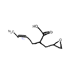 C/C=C/CC(CC1CO1)C(=O)O